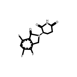 O=C1CC[C@@H](N2Cc3c(F)c(F)cc(I)c3C2=O)C(=O)N1